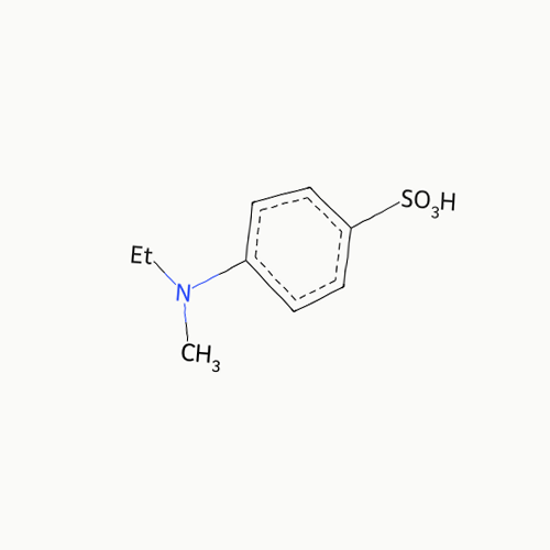 CCN(C)c1ccc(S(=O)(=O)O)cc1